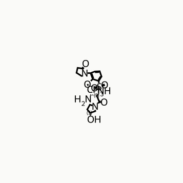 COc1c(N2CCCC2=O)cccc1S(=O)(=O)N[C@@H](CN)C(=O)N1CC[C@H](O)C1